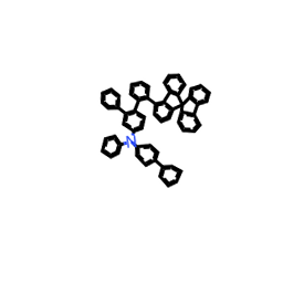 c1ccc(-c2ccc(N(c3ccccc3)c3ccc(-c4ccccc4-c4cccc5c4-c4ccccc4C54c5ccccc5-c5ccccc54)c(-c4ccccc4)c3)cc2)cc1